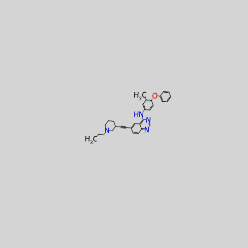 CCCN1CCCC(C#Cc2ccc3ncnc(Nc4ccc(Oc5ccccc5)c(C)c4)c3c2)C1